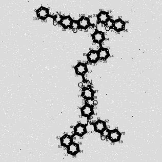 c1ccc(-c2nc3cc4c(cc3o2)oc2cc(N(c3ccc(-c5cccc6cc(-c7cccc(-c8nc9cc%10oc%11cc(N(c%12ccc(-c%13cccc%14ccccc%13%14)cc%12)c%12ccc%13c(c%12)oc%12ccccc%12%13)ccc%11c%10cc9o8)c7)ccc56)cc3)c3cccc5c3oc3ccccc35)ccc24)cc1